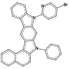 Brc1ccc(-n2c3ccccc3c3cc4c5c6ccccc6ccc5n(-c5ccccc5)c4cc32)nc1